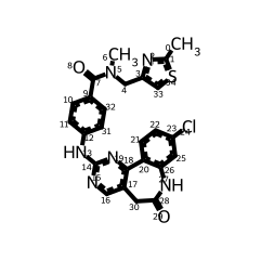 Cc1nc(CN(C)C(=O)c2ccc(Nc3ncc4c(n3)-c3ccc(Cl)cc3NC(=O)C4)cc2)cs1